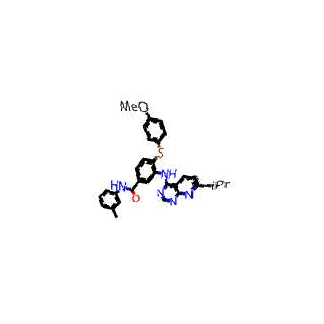 COc1ccc(Sc2ccc(C(=O)Nc3cccc(C)c3)cc2Nc2ncnc3nc(C(C)C)ccc23)cc1